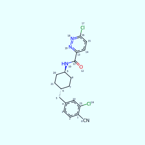 N#Cc1ccc(C[C@H]2CC[C@H](NC(=O)c3ccc(Cl)nn3)CC2)cc1Cl